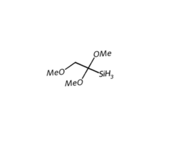 COCC([SiH3])(OC)OC